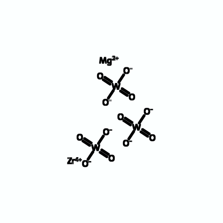 [Mg+2].[O]=[W](=[O])([O-])[O-].[O]=[W](=[O])([O-])[O-].[O]=[W](=[O])([O-])[O-].[Zr+4]